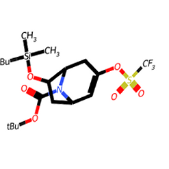 CC(C)(C)OC(=O)N1C2C=C(OS(=O)(=O)C(F)(F)F)CC1C(O[Si](C)(C)C(C)(C)C)C2